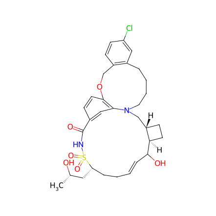 C[C@H](O)C[C@H]1CC/C=C/C(O)[C@@H]2CC[C@H]2CN2CCCCc3cc(Cl)ccc3COc3ccc(cc32)C(=O)NS1(=O)=O